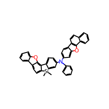 C[Si]1(C)c2cc(N(c3ccccc3)c3ccc4c(c3)oc3c5ccccc5ccc43)ccc2-c2c1ccc1c2oc2ccccc21